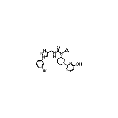 O=C(NCc1cn(-c2cccc(Br)c2)nn1)N(C1CC1)[C@@H]1CCCN(c2nccc(O)n2)C1